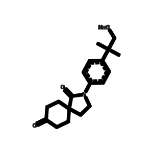 COCC(C)(C)c1ccc(N2CCC3(CCC(=O)CC3)C2=O)cc1